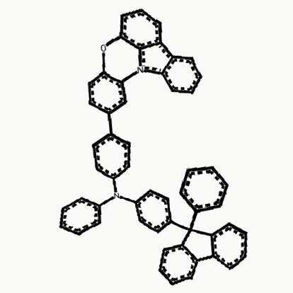 c1ccc(N(c2ccc(-c3ccc4c(c3)-n3c5ccccc5c5cccc(c53)O4)cc2)c2ccc(C3(c4ccccc4)c4ccccc4-c4ccccc43)cc2)cc1